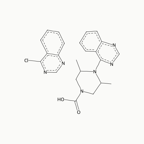 CC1CN(C(=O)O)CC(C)N1c1ncnc2ccccc12.Clc1ncnc2ccccc12